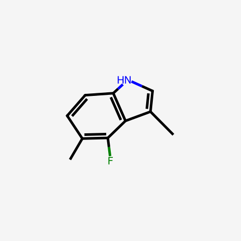 Cc1ccc2[nH]cc(C)c2c1F